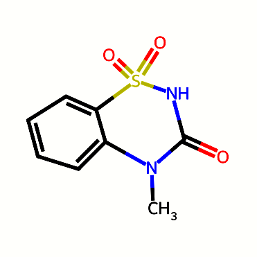 CN1C(=O)NS(=O)(=O)c2ccccc21